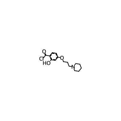 O=C(Cl)c1ccc(OCCCN2CCCCC2)cc1O